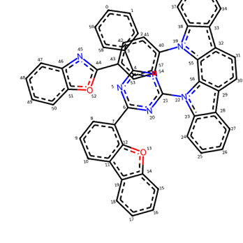 c1ccc(-c2nc(-c3cccc4c3oc3ccccc34)nc(-n3c4ccccc4c4ccc5c6ccccc6n(-c6ccc(-c7nc8ccccc8o7)cc6)c5c43)n2)cc1